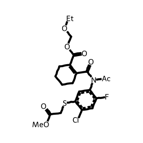 CCOCOC(=O)C1=C(C(=O)N(C(C)=O)c2cc(SCC(=O)OC)c(Cl)cc2F)CCCC1